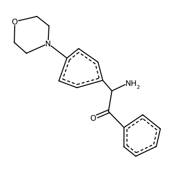 NC(C(=O)c1ccccc1)c1ccc(N2CCOCC2)cc1